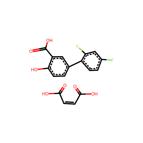 O=C(O)/C=C\C(=O)O.O=C(O)c1cc(-c2ccc(F)cc2F)ccc1O